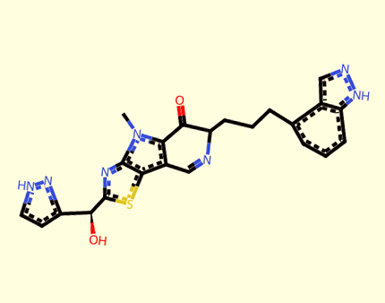 Cn1c2c(c3sc([C@@H](O)c4cc[nH]n4)nc31)C=NC(CCCc1cccc3[nH]ncc13)C2=O